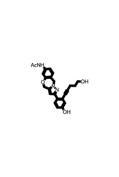 CC(=O)Nc1ccc2c(c1)OCc1cc(-c3ccc(O)cc3C#CCCCO)nn1C2